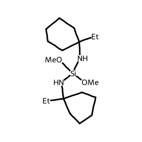 CCC1(N[Si](NC2(CC)CCCCC2)(OC)OC)CCCCC1